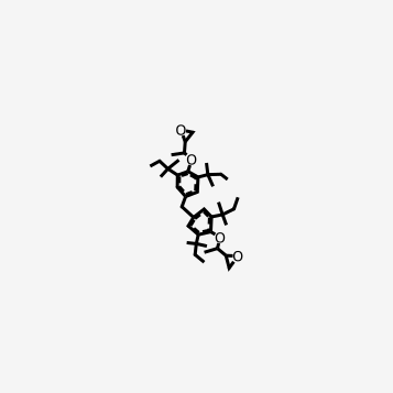 CCC(C)(C)c1cc(Cc2cc(C(C)(C)CC)c(OC(C)C3CO3)c(C(C)(C)CC)c2)cc(C(C)(C)CC)c1OC(C)C1CO1